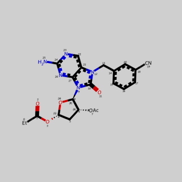 CCC(=O)O[C@H]1C[C@@H](OC(C)=O)[C@H](n2c(=O)n(Cc3cccc(C#N)c3)c3cnc(N)nc32)O1